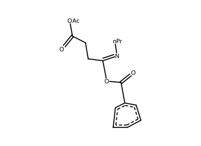 CCCN=C(CCC(=O)OC(C)=O)OC(=O)c1ccccc1